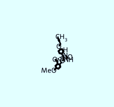 CC#CCOc1ccc([C@]2(CN3Cc4ccc(OC)cc4C3=O)NC(=O)NC2=O)cc1